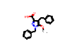 COc1c(Cc2ccccc2)c(C(=O)O)nn1Cc1ccccc1